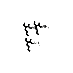 CCCCC(CC)C(C)[CH2][AlH2].CCCCC(CC)C(C)[CH2][AlH2].CCCCC(CC)C(C)[CH2][AlH2]